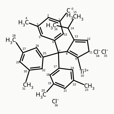 Cc1cc(C)cc(C(C2=[C]([Ti+3])CC=C2C(C)C)(c2cc(C)cc(C)c2)c2cc(C)cc(C)c2)c1.[Cl-].[Cl-].[Cl-]